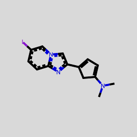 CN(C)C1=CC=C(c2cn3cc(I)ccc3n2)C1